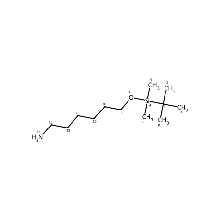 CC(C)(C)[Si](C)(C)OCCCCCCN